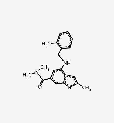 Cc1cn2c(NCc3ccccc3C)cc(C(=O)N(C)C)cc2n1